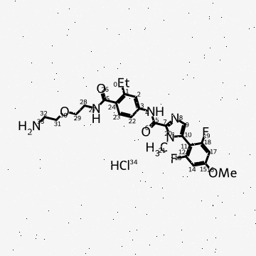 CCc1cc(NC(=O)c2ncc(-c3c(F)cc(OC)cc3F)n2C)ccc1C(=O)NCCOCCN.Cl